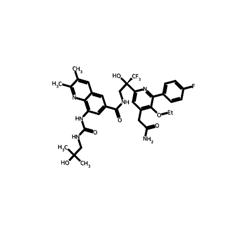 CCOc1c(CC(N)=O)cc([C@@](O)(CNC(=O)c2cc(NC(=O)NCC(C)(C)O)c3nc(C)c(C)cc3c2)C(F)(F)F)nc1-c1ccc(F)cc1